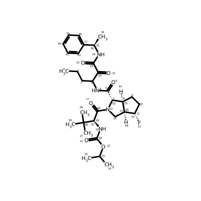 CCCC(NC(=O)[C@@H]1[C@H]2CC[C@H](F)[C@H]2CN1C(=O)[C@@H](NC(=O)OC(C)C)C(C)(C)C)C(=O)C(=O)N[C@H](C)c1ccccc1